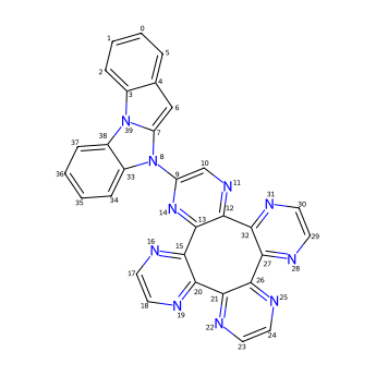 c1ccc2c(c1)cc1n(-c3cnc4c(n3)-c3nccnc3-c3nccnc3-c3nccnc3-4)c3ccccc3n21